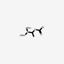 CCCCCCCCCCN(CCCCCCCCCC)C(C)OC(=O)CC